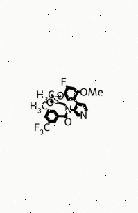 COc1cc(F)ccc1-c1ccncc1N(CCS(C)(=O)=O)C(=O)c1cc(C)cc(C(F)(F)F)c1